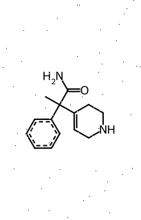 CC(C(N)=O)(C1=CCNCC1)c1ccccc1